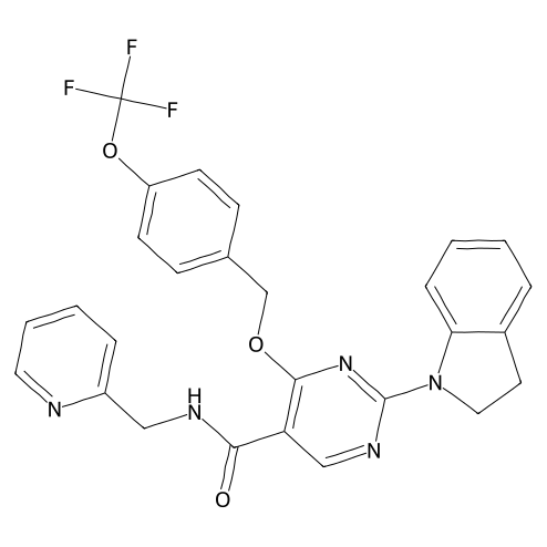 O=C(NCc1ccccn1)c1cnc(N2CCc3ccccc32)nc1OCc1ccc(OC(F)(F)F)cc1